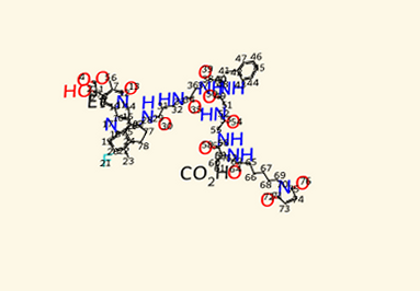 CC[C@@]1(O)C(=O)OCc2c1cc1n(c2=O)Cc2c-1nc1cc(F)c(C)c3c1c2[C@@H](NC(=O)CCNC(=O)CNC(=O)[C@H](Cc1ccccc1)NC(=O)CNC(=O)CNC(=O)[C@H](CC(=O)O)NC(=O)CCCCCN1C(=O)C=CC1=O)CC3